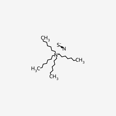 CCCCCCC[N+](CCCCCCC)(CCCCCCC)CCCCCCC.N#C[S-]